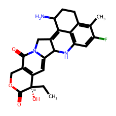 CC[C@@]1(O)C(=O)OCc2c1cc1n(c2=O)CC2=C3c4c(cc(F)c(C)c4CCC3N)NC21